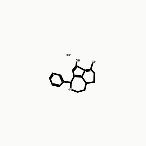 Br.OC1=CC2=C3C1=C(O)CCC3CCNC2c1ccccc1